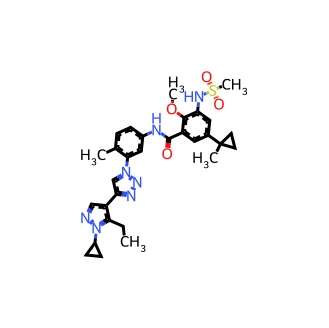 CCc1c(-c2cn(-c3cc(NC(=O)c4cc(C5(C)CC5)cc(NS(C)(=O)=O)c4OC)ccc3C)nn2)cnn1C1CC1